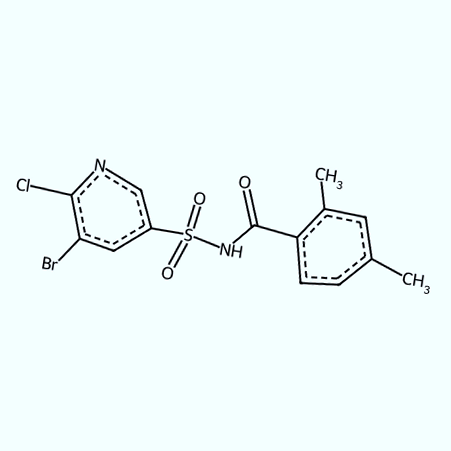 Cc1ccc(C(=O)NS(=O)(=O)c2cnc(Cl)c(Br)c2)c(C)c1